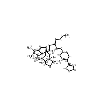 CCCCC1CC(C23C[C@@H]4[C@H](C)CC[C@H]4C4(C=O)CC2C=C(C(C)C)C34C(=O)O)OC1CN1CC=C(C2=NCCS2)CC1